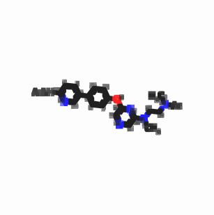 CC(=O)Nc1ccc(-c2ccc(Oc3cncc(N(C)CCN(C)C(C)=O)n3)cc2)cn1